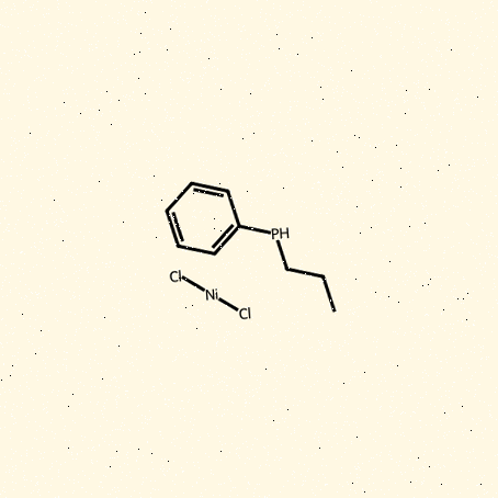 CCCPc1ccccc1.[Cl][Ni][Cl]